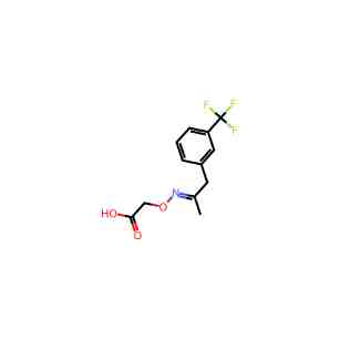 CC(Cc1cccc(C(F)(F)F)c1)=NOCC(=O)O